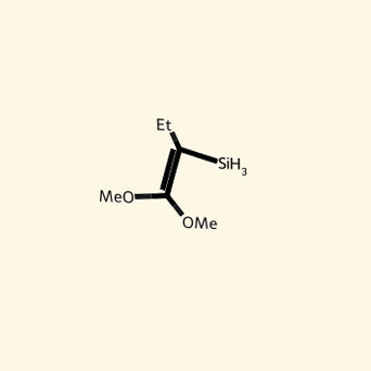 CCC([SiH3])=C(OC)OC